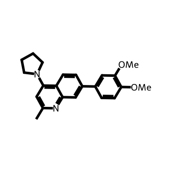 COc1ccc(-c2ccc3c(N4CCCC4)cc(C)nc3c2)cc1OC